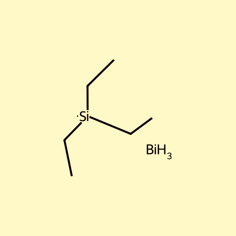 CC[Si](CC)CC.[BiH3]